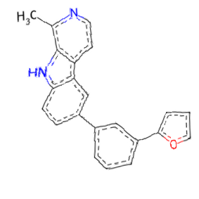 Cc1nccc2c1[nH]c1ccc(-c3cccc(-c4ccco4)c3)cc12